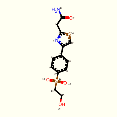 NC(=O)Cc1nc(-c2ccc(S(=O)(=O)CCO)cc2)cs1